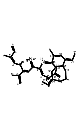 C=C/C(C)=C\C(C)/C(=C\C(=N/C)C1=CC(=O)C(=C)CC(/C(C)=C\C(=C/C)C2CCC/C(=C/C)CC2)=N1)C(=C)C